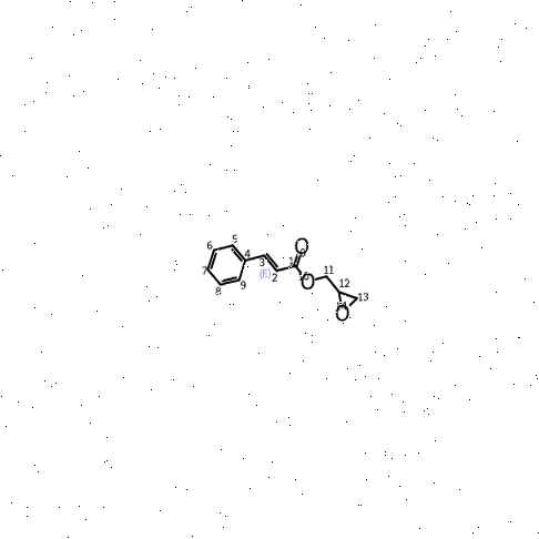 O=C(/C=C/c1ccccc1)OCC1CO1